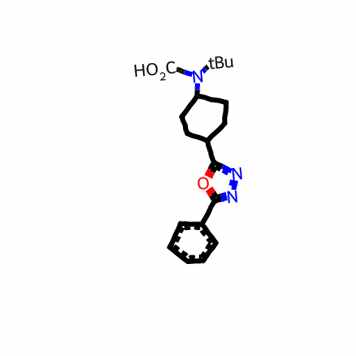 CC(C)(C)N(C(=O)O)C1CCC(c2nnc(-c3ccccc3)o2)CC1